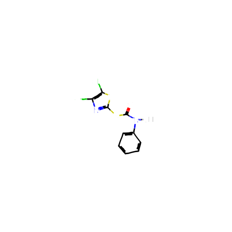 CN(C(=O)Sc1nc(Cl)c(Cl)s1)c1ccccc1